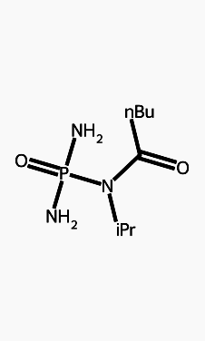 CCCCC(=O)N(C(C)C)P(N)(N)=O